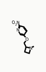 CN1CCC1COc1ccc([N+](=O)[O-])nc1